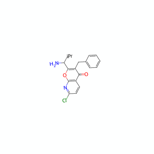 CC(C)C(N)c1oc2nc(Cl)ccc2c(=O)c1Cc1ccccc1